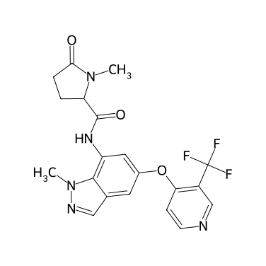 CN1C(=O)CCC1C(=O)Nc1cc(Oc2ccncc2C(F)(F)F)cc2cnn(C)c12